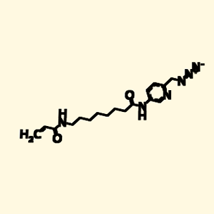 C=CC(=O)NCCCCCCCC(=O)Nc1ccc(CN=[N+]=[N-])nc1